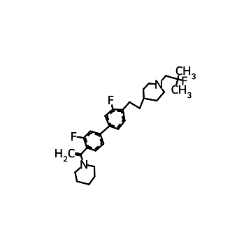 C=C(c1ccc(-c2ccc(CCC3CCN(CC(C)(C)F)CC3)c(F)c2)cc1F)N1CCCCC1